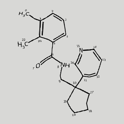 Cc1cccc(C(=O)NCC2(c3cccnc3)CCCC2)c1C